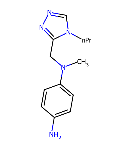 CCCn1cnnc1CN(C)c1ccc(N)cc1